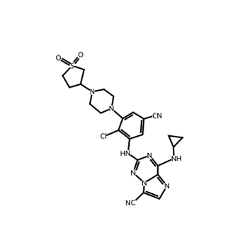 N#Cc1cc(Nc2nc(NC3CC3)c3ncc(C#N)n3n2)c(Cl)c(N2CCN(C3CCS(=O)(=O)C3)CC2)c1